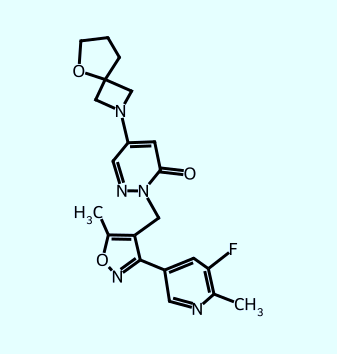 Cc1ncc(-c2noc(C)c2Cn2ncc(N3CC4(CCCO4)C3)cc2=O)cc1F